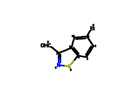 CCc1ccc2snc(C=O)c2c1